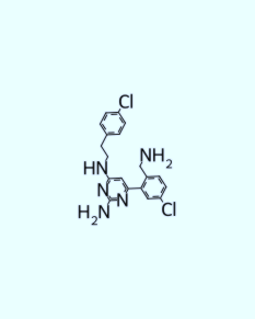 NCc1ccc(Cl)cc1-c1cc(NCCc2ccc(Cl)cc2)nc(N)n1